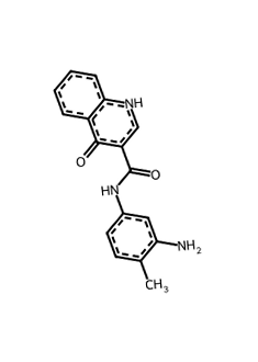 Cc1ccc(NC(=O)c2c[nH]c3ccccc3c2=O)cc1N